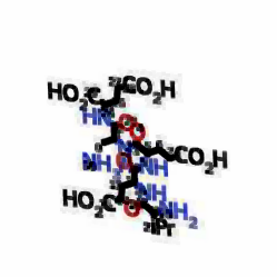 CC(NC(=O)C(CCC(=O)O)NC(=O)C(CCC(=O)O)NC(=O)C(N)C(C)C)C(=O)NC(CCC(=O)O)C(=O)O.N